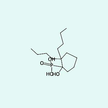 CCCCC1(CCCC)CCCCC1(O)P(=O)(O)O